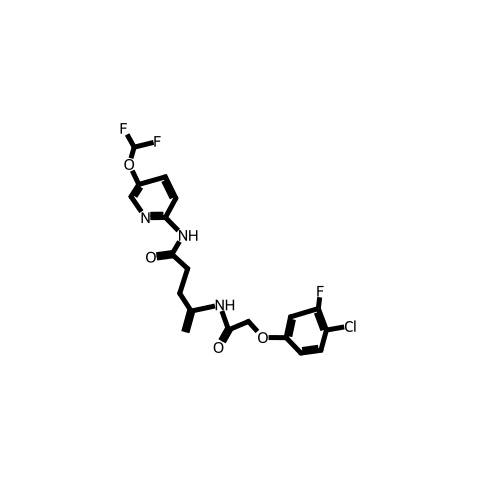 C=C(CCC(=O)Nc1ccc(OC(F)F)cn1)NC(=O)COc1ccc(Cl)c(F)c1